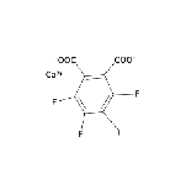 O=C([O-])c1c(F)c(F)c(F)c(F)c1C(=O)[O-].[Ca+2]